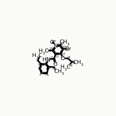 CCc1cccc(CC)c1NC(=O)c1c(OCC(C)C)c(Br)c(C)[n+]([O-])c1C